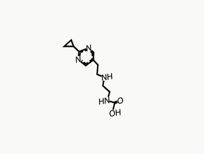 O=C(O)NCCNCCc1cnc(C2CC2)nc1